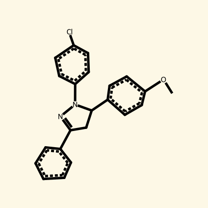 COc1ccc(C2CC(c3ccccc3)=NN2c2ccc(Cl)cc2)cc1